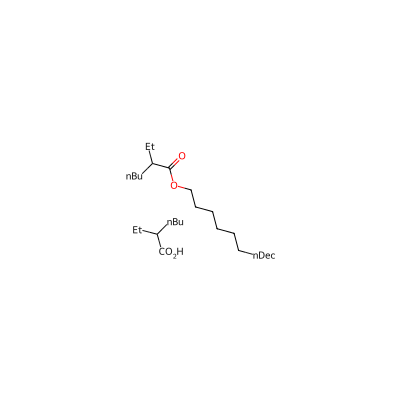 CCCCC(CC)C(=O)O.CCCCCCCCCCCCCCCCOC(=O)C(CC)CCCC